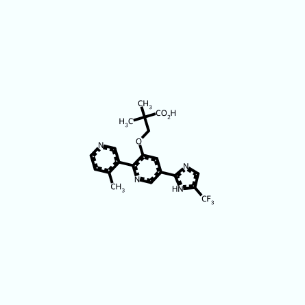 Cc1ccncc1-c1ncc(-c2ncc(C(F)(F)F)[nH]2)cc1OCC(C)(C)C(=O)O